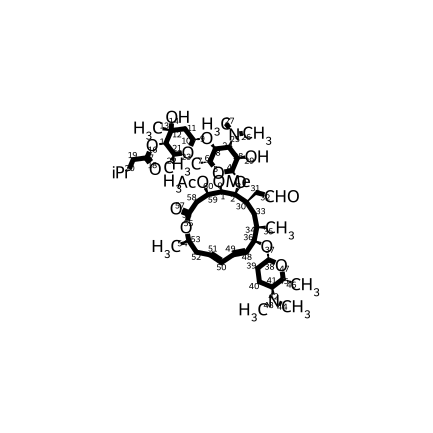 CO[C@@H]1[C@@H](O[C@@H]2O[C@H](C)[C@@H](O[C@H]3C[C@@](C)(O)[C@@H](OC(=O)CC(C)C)[C@H](C)O3)[C@H](N(C)C)[C@H]2O)[C@@H](CC=O)C[C@@H](C)[C@@H](O[C@H]2CC[C@H](N(C)C)[C@@H](C)O2)/C=C/C=C/C[C@@H](C)OC(=O)C[C@H]1OC(C)=O